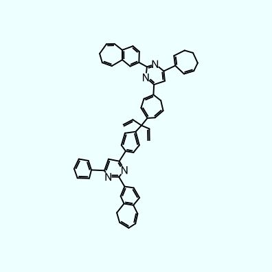 C=CC(C=C)(C1=CC=C(c2cc(C3=CCCCC=C3)nc(-c3ccc4c(c3)C=CCC=C4)n2)CC=C1)c1ccc(-c2cc(-c3ccccc3)nc(-c3ccc4c(c3)CC=CC=C4)n2)cc1